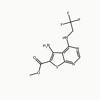 COC(=O)c1sc2ncnc(NCC(F)(F)F)c2c1N